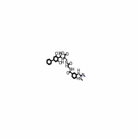 C/N=C(\NC)Nc1cccc(C(=O)NCC(=O)NC[C@@H](NC(=O)c2c(Cl)cc(-c3ccccc3)cc2Cl)C(=O)O)c1